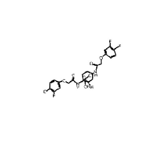 O=C(COc1ccc(F)c(F)c1)NC12CCC(NC(=O)COc3ccc(Cl)c(F)c3)(CC1)[C@@H](O)C2